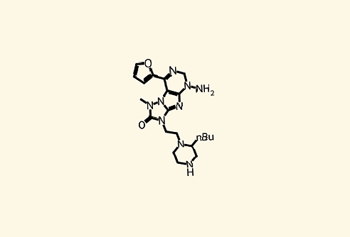 CCCCC1CNCCN1CCn1c(=O)n(C)n2c3c(nc12)N(N)CN=C3c1ccco1